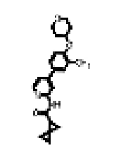 Cc1cc(-c2ccnc(NC(=O)C3CC34CC4)c2)ccc1OC1CCOCC1